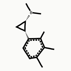 CB(C)[C@H]1C[C@H]1c1ccc(C)c(C)c1C